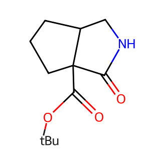 CC(C)(C)OC(=O)C12CCCC1CNC2=O